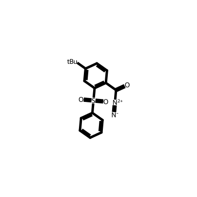 CC(C)(C)c1ccc(C(=O)[N+2]=[N-])c(S(=O)(=O)c2ccccc2)c1